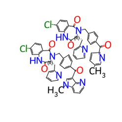 Cc1ccc(C(=O)c2ccc(CN3C(=O)c4ccc(Cl)cc4NC(=O)[C@H]3Cc3ccccn3)cc2)nc1.Cn1cc(C(=O)c2ccc(CN3C(=O)c4ccc(Cl)cc4NC(=O)[C@H]3Cc3ccccn3)cc2)c2ncccc21